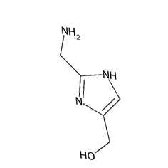 NCc1nc(CO)c[nH]1